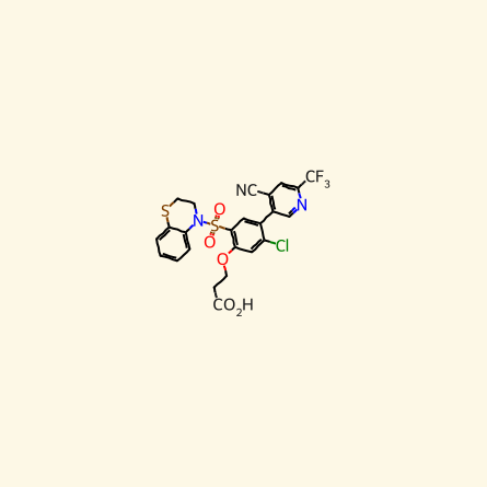 N#Cc1cc(C(F)(F)F)ncc1-c1cc(S(=O)(=O)N2CCSc3ccccc32)c(OCCC(=O)O)cc1Cl